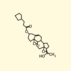 CC(O)C1CCC2C3CC=C4CC(OC(=O)CCC5CCCC5)CCC4(C)C3CCC12C